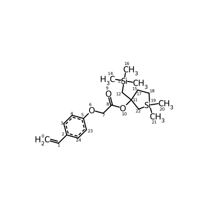 C=Cc1ccc(OCC(=O)OC2(C[Si](C)(C)C)CC[Si](C)(C)C2)cc1